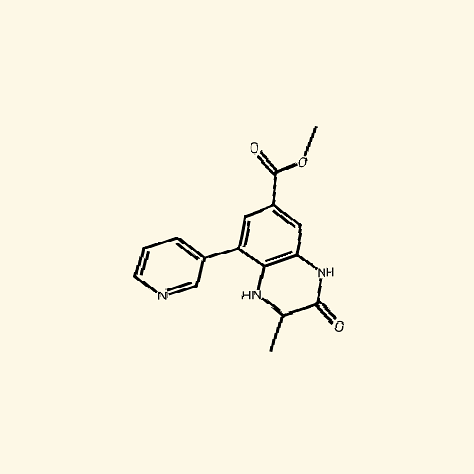 COC(=O)c1cc2c(c(-c3cccnc3)c1)NC(C)C(=O)N2